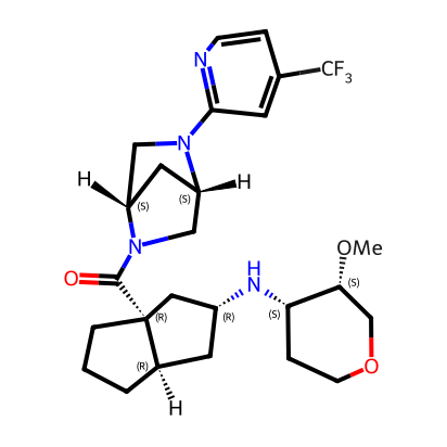 CO[C@@H]1COCC[C@@H]1N[C@@H]1C[C@H]2CCC[C@@]2(C(=O)N2C[C@@H]3C[C@H]2CN3c2cc(C(F)(F)F)ccn2)C1